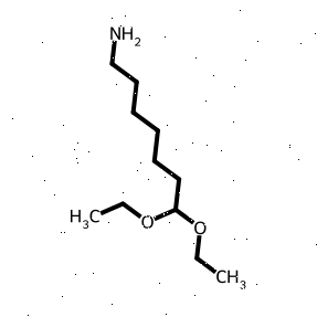 CCOC(CCCCCCN)OCC